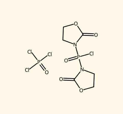 O=C1OCCN1P(=O)(Cl)N1CCOC1=O.O=P(Cl)(Cl)Cl